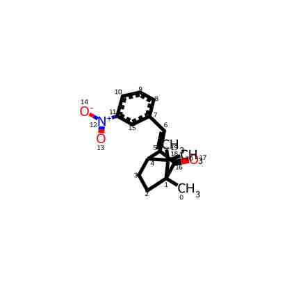 CC12CCC(C(=Cc3cccc([N+](=O)[O-])c3)C1=O)C2(C)C